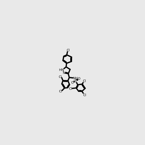 O=S(=O)(NC(C1=NNC(c2ccc(Cl)cc2)C1)c1ccc(Cl)cc1Cl)c1c(Cl)cc(Cl)cc1Cl